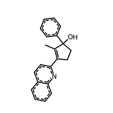 CC1=C(c2ccc3ccccc3n2)CCC1(O)c1ccccc1